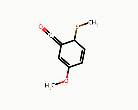 COC1=CC(=C=O)C(SC)C=C1